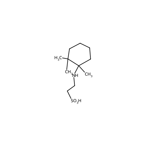 CC1(C)CCCCC1(C)NCCS(=O)(=O)O